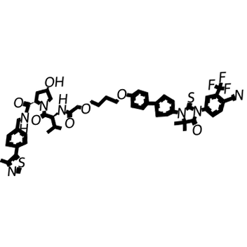 Cc1ncsc1-c1ccc(CNC(=O)[C@@H]2C[C@@H](O)CN2C(=O)[C@@H](NC(=O)COCCCCOc2ccc(-c3ccc(N4C(=S)N(c5ccc(C#N)c(C(F)(F)F)c5)C(=O)C4(C)C)cc3)cc2)C(C)C)cc1